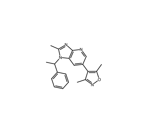 Cc1noc(C)c1-c1cnc2nc(C)n(C(C)c3ccccc3)c2c1